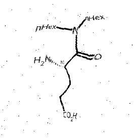 CCCCCCN(CCCCCC)C(=O)[C@@H](N)CCC(=O)O